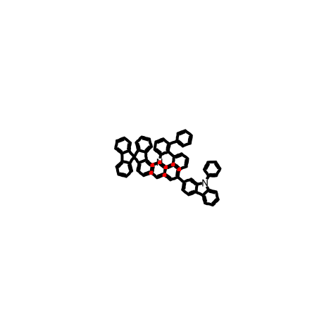 c1ccc(-c2ccccc2-c2c(-c3ccccc3)cccc2N(c2ccc(-c3ccc4c5ccccc5n(-c5ccccc5)c4c3)cc2)c2cccc3c2-c2ccccc2C32c3ccccc3-c3ccccc32)cc1